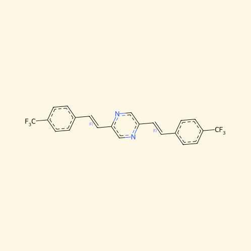 FC(F)(F)c1ccc(/C=C/c2cnc(/C=C/c3ccc(C(F)(F)F)cc3)cn2)cc1